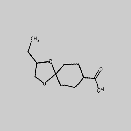 CCC1COC2(CCC(C(=O)O)CC2)O1